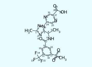 Cc1nc(C(C)NC(=O)c2cc(C(F)(F)F)cc(S(C)(=O)=O)c2)n(-c2cnc(C(=O)O)cn2)n1